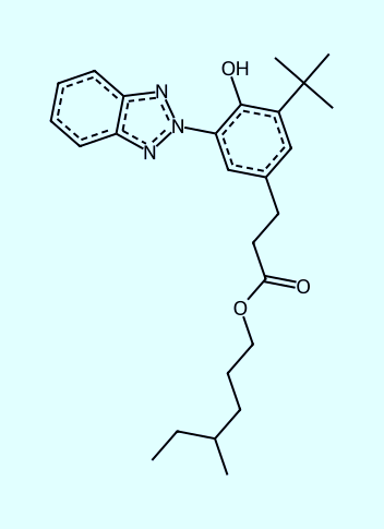 CCC(C)CCCOC(=O)CCc1cc(-n2nc3ccccc3n2)c(O)c(C(C)(C)C)c1